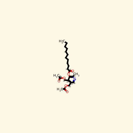 CCCCCCCCCCCC(=O)Oc1c(C)ncc(COC(C)=O)c1COC(C)=O